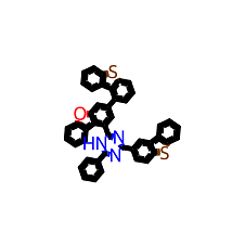 c1ccc(C2N=C(c3ccc4sc5ccccc5c4c3)N=C(c3cc(-c4cccc5sc6ccccc6c45)cc4oc5ccccc5c34)N2)cc1